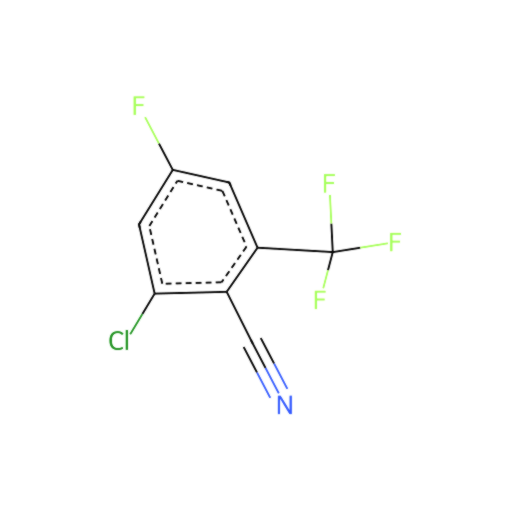 N#Cc1c(Cl)cc(F)cc1C(F)(F)F